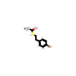 CC(=O)SCCc1ccc(Br)cc1